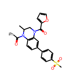 CC(C)C(=O)N1c2ccc(-c3ccc(S(C)(=O)=O)cc3)cc2N(C(=O)c2ccco2)CC1C